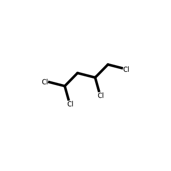 ClC[C](Cl)CC(Cl)Cl